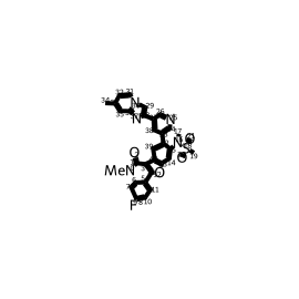 CNC(=O)c1c(-c2ccc(F)cc2)oc2cc(N(C)S(C)(=O)=O)c(-c3cncc(-c4cn5ccc(C)cc5n4)c3)cc12